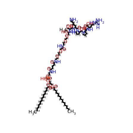 CCCCCCCCCCCCCCCC(=O)OCC(COP(=O)(O)OCCNC(=O)CCCC(=O)NCCOCCOCC(=O)NCCOCCOC[C@H](O)NC(C(=O)NC(CCCCN)C(=O)N1CCCC1C(=O)N1CCCC1C(=O)NC(CCCNC(=N)N)C(=O)O)C(C)O)OC(=O)CCCCCCCCCCCCCCC